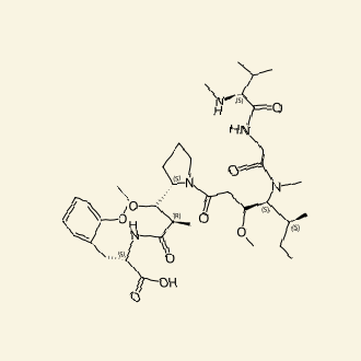 CC[C@H](C)[C@@H](C(CC(=O)N1CCC[C@H]1C(OC)[C@@H](C)C(=O)N[C@@H](Cc1ccccc1OC)C(=O)O)OC)N(C)C(=O)CNC(=O)[C@@H](NC)C(C)C